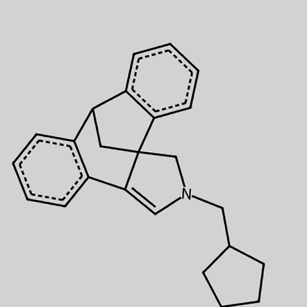 C1=C2c3ccccc3C3CC2(CN1CC1CCCC1)c1ccccc13